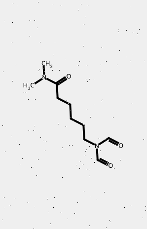 CN(C)C(=O)CCCCCN(C=O)C=O